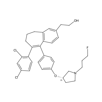 OCCc1ccc2c(c1)CCCC(c1ccc(Cl)cc1Cl)=C2c1ccc(O[C@H]2CCN(CCCF)C2)cc1